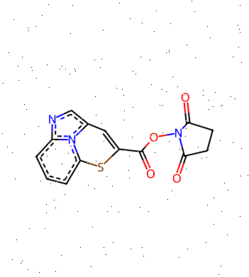 O=C(ON1C(=O)CCC1=O)C1=Cc2cnc3cccc(n23)S1